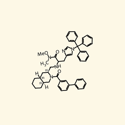 CON(C)C(=O)C(Cc1cn(C(c2ccccc2)(c2ccccc2)c2ccccc2)cn1)NC[C@@H]1C[C@H]2CCCC[C@@H]2CN1C(=O)c1cccc(-c2ccccc2)c1